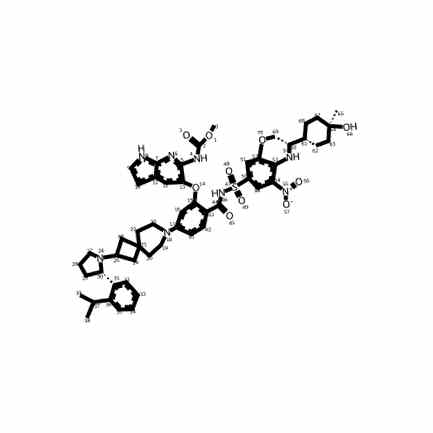 COC(=O)Nc1nc2[nH]ccc2cc1Oc1cc(N2CCC3(CC2)CC(N2CCC[C@H]2c2ccccc2C(C)C)C3)ccc1C(=O)NS(=O)(=O)c1cc2c(c([N+](=O)[O-])c1)N[C@@H]([C@H]1CC[C@](C)(O)CC1)CO2